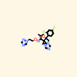 CC(C)/C(=N\OCCn1cncn1)C1(C(O)(Cn2cncn2)c2ccc(F)cc2F)CC1